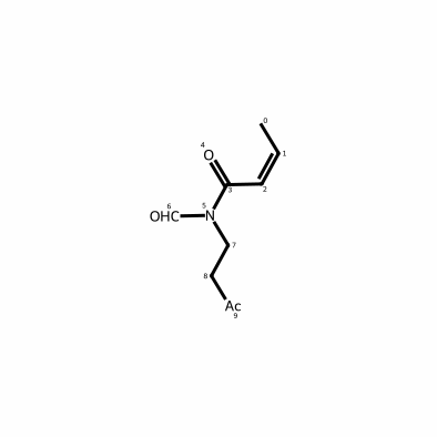 C/C=C\C(=O)N(C=O)CCC(C)=O